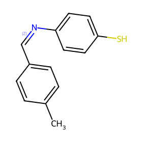 Cc1ccc(/C=N\c2ccc(S)cc2)cc1